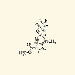 COC(=O)c1csc2c(C)cc(OS(=O)(=O)C(F)(F)F)nc12